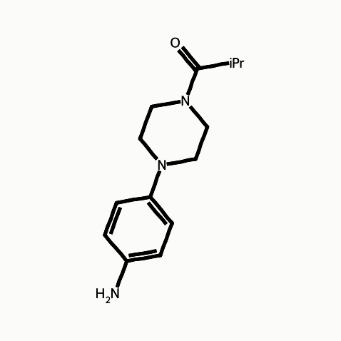 CC(C)C(=O)N1CCN(c2ccc(N)cc2)CC1